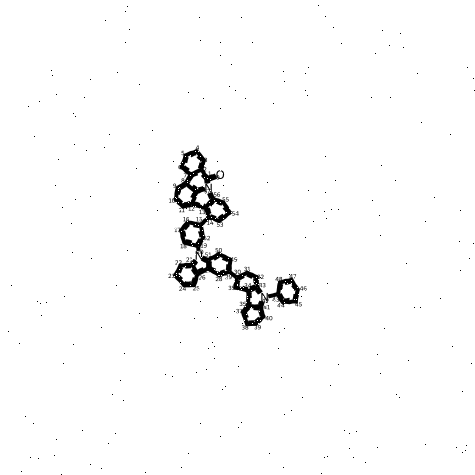 O=c1c2ccccc2c2cccc3c4c(-c5cccc(-n6c7ccccc7c7cc(-c8ccc9c(c8)c8ccccc8n9-c8ccccc8)ccc76)c5)cccc4n1c23